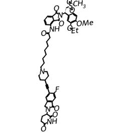 CCOc1cc([C@@H](CS(C)(=O)=O)N2C(=O)c3cccc(NC(=O)CCCCCCCCN4CCC(C#Cc5cc6c(cc5F)C(=O)N(C5CCC(=O)NC5=O)C6)CC4)c3C2=O)ccc1OC